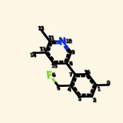 Cc1ccc(CF)c(-c2cnc(C)c(C)c2)c1